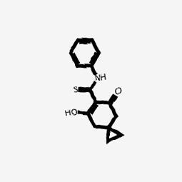 O=C1CC2(CC2)CC(O)=C1C(=S)Nc1ccccc1